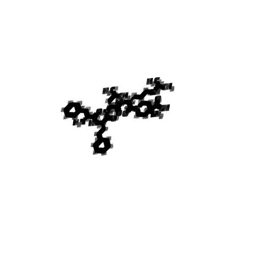 CC(C)C[C@@H](NC(=O)[C@@H](CCc1ccccc1)NC(=O)[C@H](N)Cc1ccccc1)C(=O)N[C@H](CCCNC(C)C)C(=O)N1CCC(N)(C(=O)O)CC1